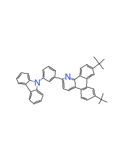 CC(C)(C)c1ccc2c(c1)c1cc(C(C)(C)C)ccc1c1nc(-c3cccc(-n4c5ccccc5c5ccccc54)c3)ccc21